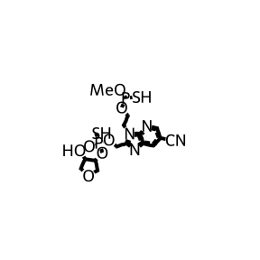 COP(S)OCCn1c(COP(=O)(S)OC2COCC2O)nc2cc(C#N)cnc21